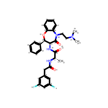 C[C@H](NC(=O)Cc1cc(F)cc(F)c1)C(=O)N[C@@H]1C(=O)N(CCN(C)C)c2ccccc2O[C@@H]1c1ccccc1